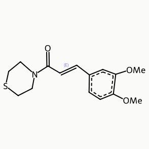 COc1ccc(/C=C/C(=O)N2CCSCC2)cc1OC